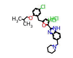 CC(C)COc1ccc(Cl)cc1Cc1ccc(-c2nc3cc(CN4CCCCC4)ccc3[nH]2)o1.Cl.Cl